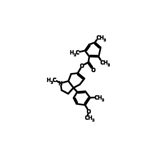 COc1ccc(C23CC=C(OC(=O)c4c(C)cc(C)cc4C)CC2N(C)CC3)cc1C